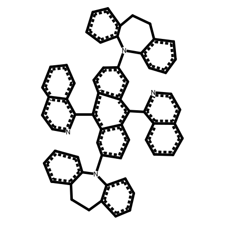 c1ccc2c(c1)CCc1ccccc1N2c1ccc2c(-c3nccc4ccccc34)c3cc(N4c5ccccc5CCc5ccccc54)ccc3c(-c3nccc4ccccc34)c2c1